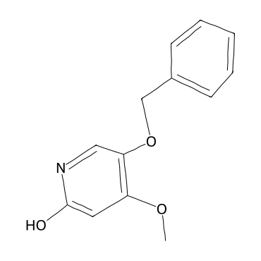 COc1cc(O)ncc1OCc1ccccc1